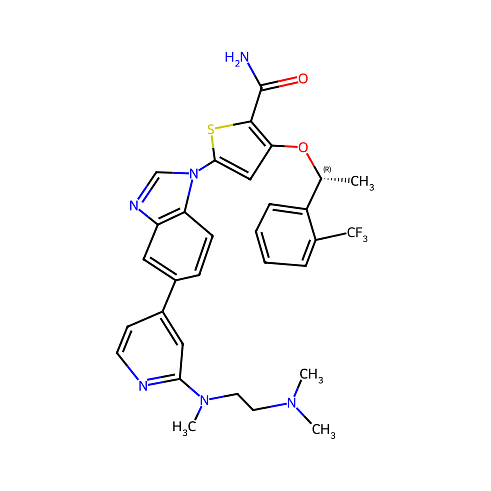 C[C@@H](Oc1cc(-n2cnc3cc(-c4ccnc(N(C)CCN(C)C)c4)ccc32)sc1C(N)=O)c1ccccc1C(F)(F)F